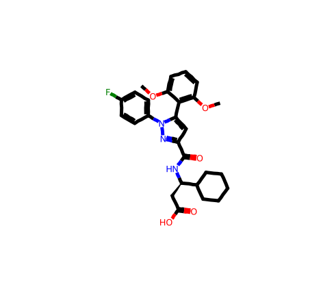 COc1cccc(OC)c1-c1cc(C(=O)N[C@H](CC(=O)O)C2CCCCC2)nn1-c1ccc(F)cc1